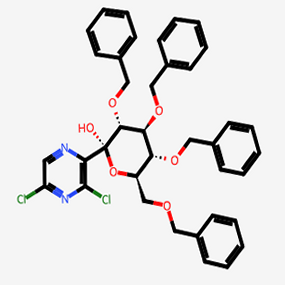 O[C@@]1(c2ncc(Cl)nc2Cl)O[C@H](COCc2ccccc2)[C@@H](OCc2ccccc2)[C@H](OCc2ccccc2)[C@H]1OCc1ccccc1